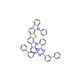 c1ccc(-c2cccc(-c3nc(-c4cccc(-c5ccccc5)c4)nc(-c4ccccc4-n4c5ccccc5c5ccc6c7ccc8c9ccccc9n(-c9ccccc9)c8c7sc6c54)n3)c2)cc1